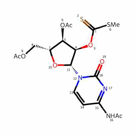 CSC(=S)O[C@@H]1[C@H](OC(C)=O)[C@@H](COC(C)=O)O[C@H]1n1ccc(NC(C)=O)nc1=O